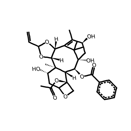 C=CC1O[C@@H]2C3=C(C)[C@@H](O)C[C@@](O)([C@@H](OC(=O)c4ccccc4)[C@H]4[C@](C)([C@@H]2O1)[C@@H](O)CC1OC[C@]14OC(C)=O)C3(C)C